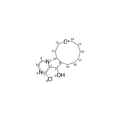 OC(c1nccnc1Cl)C1CCCCCCCCCC1